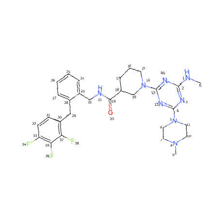 CNc1nc(N2CCN(C)CC2)nc(N2CCCC(C(=O)NCc3ccccc3Cc3ccc(F)c(F)c3F)C2)n1